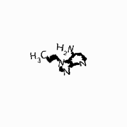 CC=Cn1cnc2nccc(N)c21